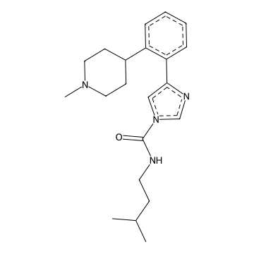 CC(C)CCNC(=O)n1cnc(-c2ccccc2C2CCN(C)CC2)c1